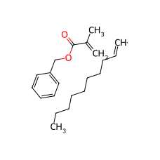 C=C(C)C(=O)OCc1ccccc1.[CH]=CCCCCCCCC